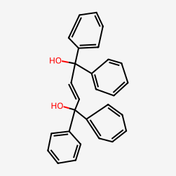 OC(C=CC(O)(c1ccccc1)c1ccccc1)(c1ccccc1)c1ccccc1